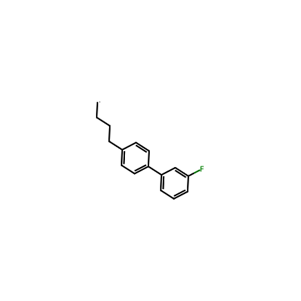 [CH2]CCCc1ccc(-c2cccc(F)c2)cc1